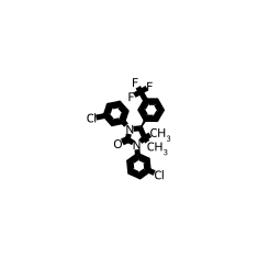 CC1(C)[C@H](c2cccc(C(F)(F)F)c2)N(c2cccc(Cl)c2)C(=O)N1c1cccc(Cl)c1